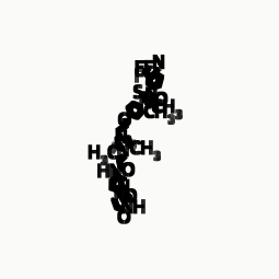 C[C@@H]1CN(CCO[C@H]2CC[C@H](N3C(=S)N(c4ccc(C#N)c(C(F)(F)F)c4)C(=O)C3(C)C)CC2)C[C@H](C)N1C=CC(=O)Nc1ccc(N2CCC(=O)NC2=O)nc1